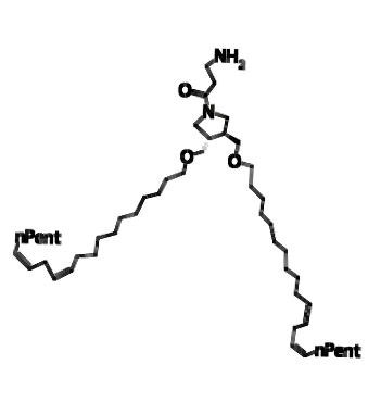 CCCCC/C=C\C/C=C\CCCCCCCCCCOC[C@@H]1CN(C(=O)CCN)C[C@H]1COCCCCCCCCCC/C=C\C/C=C\CCCCC